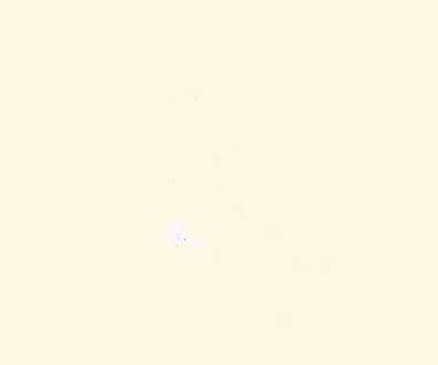 Cc1cc2[nH]cc(OS(C)(=O)=O)c(=O)c2cc1F